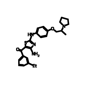 CCc1cccc(C(=O)c2sc(Nc3ccc(OCC(C)N4CCCC4)cc3)nc2N)c1